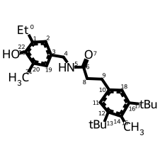 CCc1cc(CNC(=O)CCc2cc(C(C)(C)C)c(C)c(C(C)(C)C)c2)cc(C)c1O